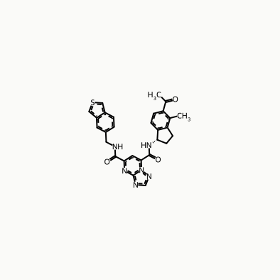 CC(=O)c1ccc2c(c1C)CC[C@@H]2NC(=O)c1cc(C(=O)NCc2ccc3cscc3c2)nc2ncnn12